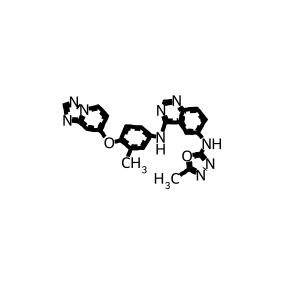 Cc1nnc(Nc2ccc3ncnc(Nc4ccc(Oc5ccn6ncnc6c5)c(C)c4)c3c2)o1